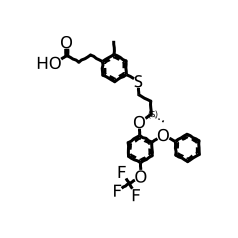 Cc1cc(SCC[C@H](C)Oc2ccc(OC(F)(F)F)cc2Oc2ccccc2)ccc1CCC(=O)O